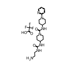 NCCNC(=O)NC1CCN(C(=O)NC2CCN(c3ccccn3)CC2)CC1.O=C(O)C(F)(F)F